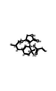 CCC(=O)O[C@@]1(C2=C(O)COC2=O)C=C(CC(C)C)C=CC1(C)C